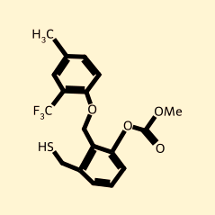 COC(=O)Oc1cccc(CS)c1COc1ccc(C)cc1C(F)(F)F